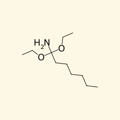 CCCCCCC(N)(OCC)OCC